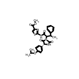 COC(=O)c1csc(NC(=O)C(C(C)c2ccccc2)N2C(=O)N[C@H](c3ccc(OC(C)C)cc3)C2=O)n1